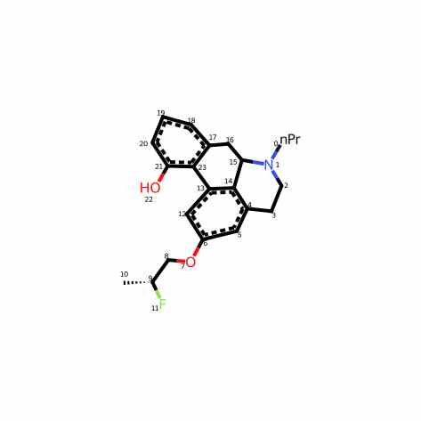 CCCN1CCc2cc(OC[C@@H](C)F)cc3c2C1Cc1cccc(O)c1-3